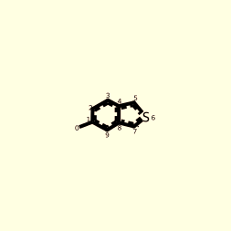 Cc1ccc2cs[c]c2c1